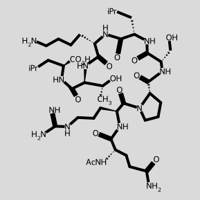 CC(=O)N[C@@H](CCC(N)=O)C(=O)N[C@@H](CCCNC(=N)N)C(=O)N1CCC[C@H]1C(=O)N[C@@H](CO)C(=O)N[C@@H](CC(C)C)C(=O)N[C@@H](CCCCN)C(=O)N[C@H](C(=O)N[C@@H](CC(C)C)C(=O)O)[C@@H](C)O